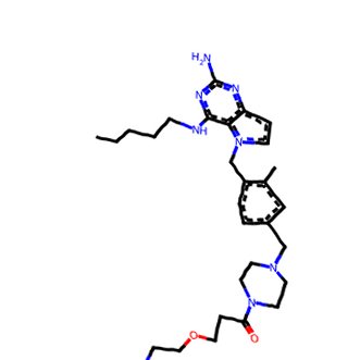 CCCCCNc1nc(N)nc2ccn(Cc3ccc(CN4CCN(C(=O)CCOCCN)CC4)cc3C)c12